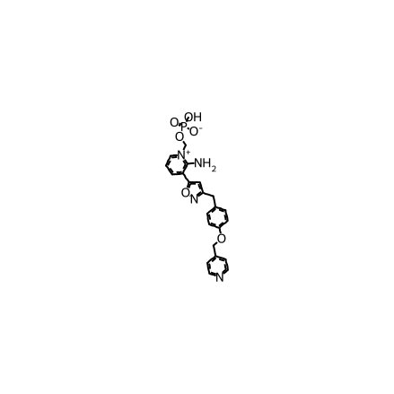 Nc1c(-c2cc(Cc3ccc(OCc4ccncc4)cc3)no2)ccc[n+]1COP(=O)([O-])O